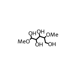 COC(O)C(O)C(O)C(CO)OC